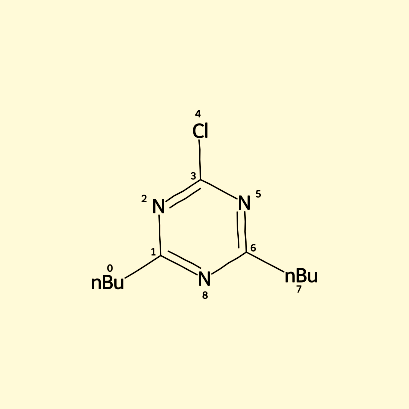 CCCCc1nc(Cl)nc(CCCC)n1